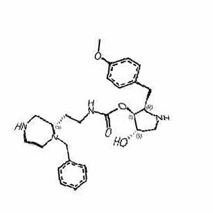 COc1ccc(C[C@H]2NC[C@H](O)[C@H]2OC(=O)NCC[C@H]2CNCCN2Cc2ccccc2)cc1